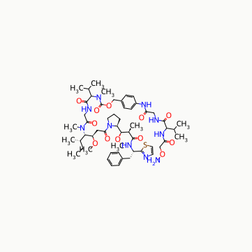 CC[C@H](C)[C@@H]([C@@H](CC(=O)N1CCC[C@H]1[C@H](OC)[C@@H](C)C(=O)N[C@@H](Cc1ccccc1)c1nccs1)OC)N(C)C(=O)CNC(=O)C(C(C)C)N(C)C(=O)OCc1ccc(NC(=O)CNC(=O)C(NC(=O)CON)C(C)C)cc1